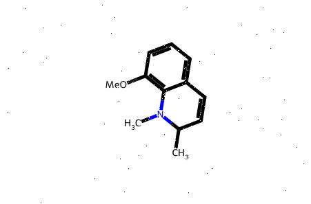 COc1cccc2c1N(C)C(C)C=C2